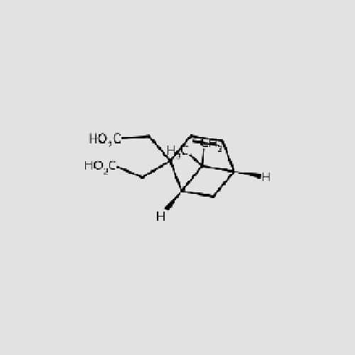 CC1(C)[C@@H]2C=CC(CC(=O)O)(CC(=O)O)[C@H]1C2